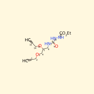 C#CCOCC(CNC(=O)NNC(=O)OCC)OCC#C